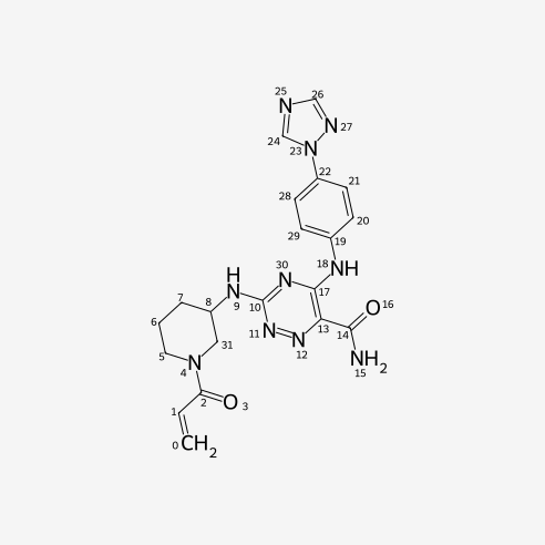 C=CC(=O)N1CCCC(Nc2nnc(C(N)=O)c(Nc3ccc(-n4cncn4)cc3)n2)C1